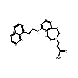 O=C(O)CCN1CCc2cccc(OCCc3cccc4ccccc34)c2CC1